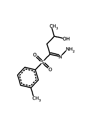 Cc1cccc(S(=O)(=O)C(CC(C)O)=NN)c1